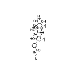 CN(C)CCNC(=O)c1cccc(-c2cc(N(C)C)c3c(c2O)C(=O)C2=C(O)[C@]4(O)C(=O)C(C(N)=O)=C(O)C(N(C)C)[C@@H]4C[C@@H]2C3)c1